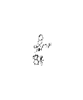 CS(=O)(=O)c1cccc2sc(CNC(=O)C3(CC(=O)O)Cc4ccccc4C3)nc12